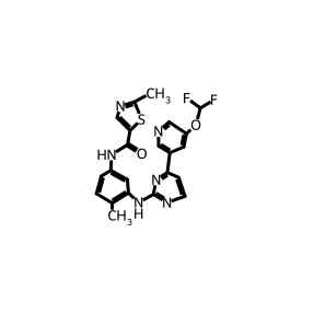 Cc1ncc(C(=O)Nc2ccc(C)c(Nc3nccc(-c4cncc(OC(F)F)c4)n3)c2)s1